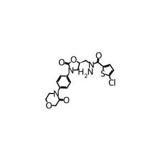 NN(C[C@H]1CN(c2ccc(N3CCOCC3=O)cc2)C(=O)O1)C(=O)c1ccc(Cl)s1